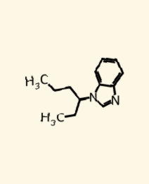 CCCC(CC)n1cnc2ccccc21